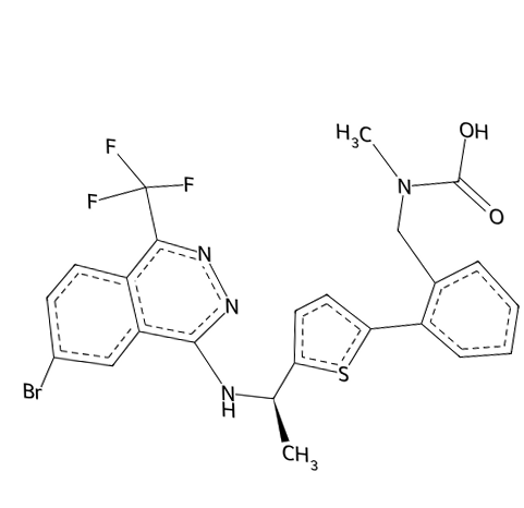 C[C@@H](Nc1nnc(C(F)(F)F)c2ccc(Br)cc12)c1ccc(-c2ccccc2CN(C)C(=O)O)s1